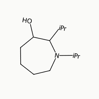 CC(C)C1C(O)CCCCN1C(C)C